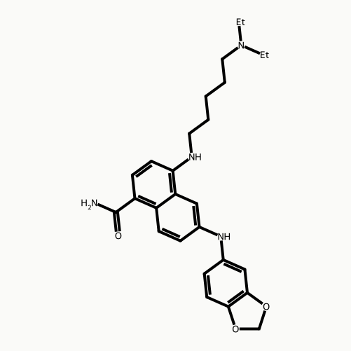 CCN(CC)CCCCCNc1ccc(C(N)=O)c2ccc(Nc3ccc4c(c3)OCO4)cc12